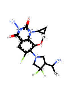 COc1c(N2CC(C(C)N)C(F)(F)C2)c(F)cc2c(=O)n(N)c(=O)n(C3CC3)c12